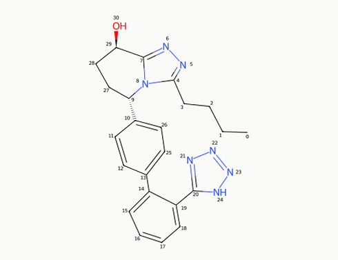 CCCCc1nnc2n1[C@H](c1ccc(-c3ccccc3-c3nnn[nH]3)cc1)CC[C@H]2O